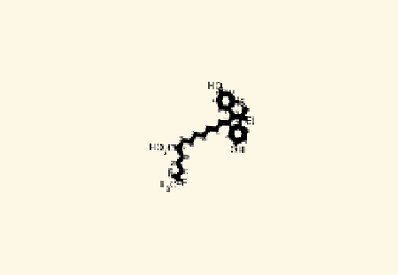 CCC1(c2ccc(O)cc2)CSc2cc(O)ccc2C1CCCCCCCCC(CCCC(F)(F)C(F)(F)F)C(=O)O